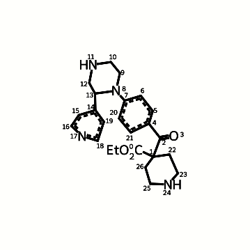 CCOC(=O)C1(C(=O)c2ccc(N3CCNCC3c3ccncc3)cc2)CCNCC1